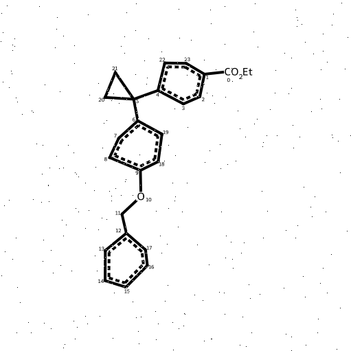 CCOC(=O)c1ccc(C2(c3ccc(OCc4ccccc4)cc3)CC2)cc1